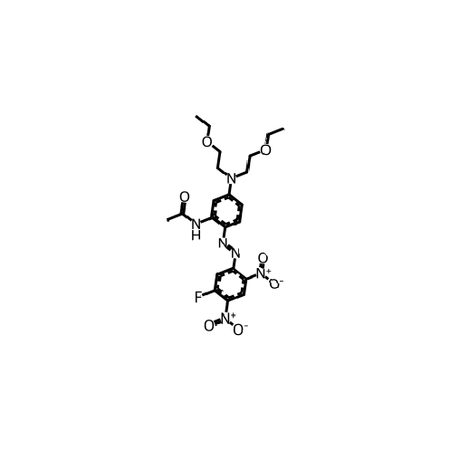 CCOCCN(CCOCC)c1ccc(/N=N/c2cc(F)c([N+](=O)[O-])cc2[N+](=O)[O-])c(NC(C)=O)c1